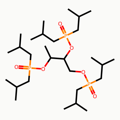 CC(C)CP(=O)(CC(C)C)OCC(OP(=O)(CC(C)C)CC(C)C)C(C)OP(=O)(CC(C)C)CC(C)C